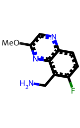 COc1cnc2ccc(F)c(CN)c2n1